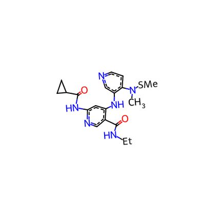 CCNC(=O)c1cnc(NC(=O)C2CC2)cc1Nc1cnccc1N(C)SC